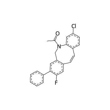 CC(=O)N1Cc2cc(-c3ccccc3)c(F)cc2C=Cc2ccc(Cl)cc21